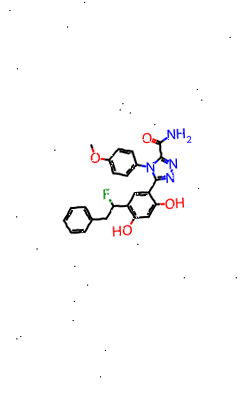 COc1ccc(-n2c(C(N)=O)nnc2-c2cc(C(F)Cc3ccccc3)c(O)cc2O)cc1